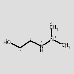 CN(C)NCCO